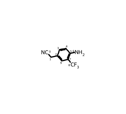 N#CCc1ccc(N)c(C(F)(F)F)c1